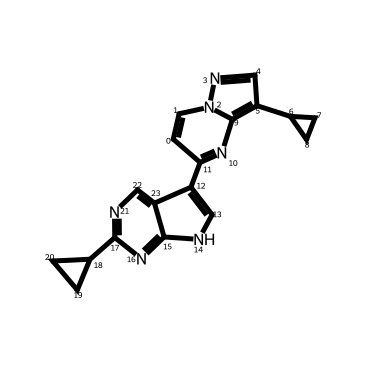 c1cn2ncc(C3CC3)c2nc1-c1c[nH]c2nc(C3CC3)ncc12